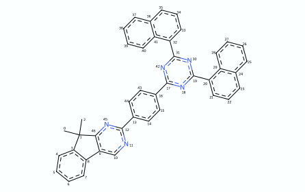 CC1(C)c2ccccc2-c2cnc(-c3ccc(-c4nc(-c5cccc6ccccc56)nc(-c5cccc6ccccc56)n4)cc3)nc21